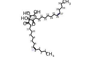 CCCC/C=C\CCCCCCCC(=O)C(O)(C(=O)CCCCCCC/C=C\CCCC)C(O)CO